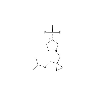 CC(C)OCC1(CN2CC[C@H](C(C)(F)F)C2)CC1